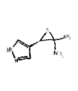 NC1(N)S[C@@H]1c1cn[nH]c1